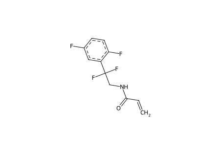 C=CC(=O)NCC(F)(F)c1cc(F)ccc1F